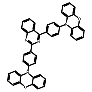 c1ccc2c(c1)Oc1ccccc1N2c1ccc(-c2nc(-c3ccc(N4c5ccccc5Oc5ccccc54)cc3)c3ccccc3n2)cc1